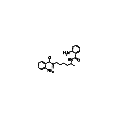 CC(CCCCNC(=O)c1ccccc1N)NC(=O)c1ccccc1N